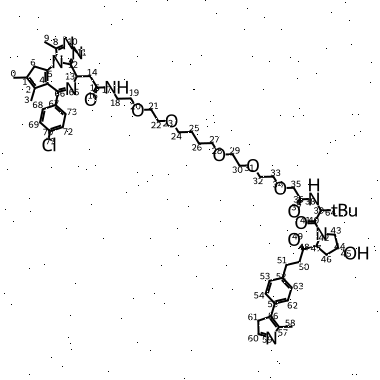 CC1=C(C)C2=C(C1)n1c(C)nnc1C(CC(=O)NCCOCCOCCCCOCCOCCOCC(=O)NC(C(=O)N1C[C@H](O)C[C@H]1C(=O)CCc1ccc(C3=C(C)N=CC3)cc1)C(C)(C)C)N=C2c1ccc(Cl)cc1